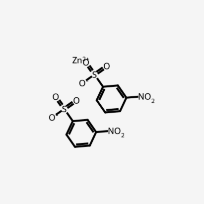 O=[N+]([O-])c1cccc(S(=O)(=O)[O-])c1.O=[N+]([O-])c1cccc(S(=O)(=O)[O-])c1.[Zn+2]